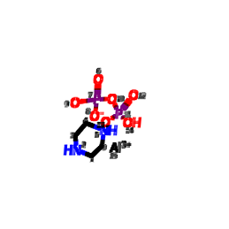 C1CNCCN1.O=P([O-])([O-])OP(=O)([O-])O.[Al+3]